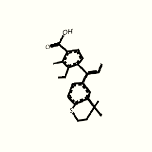 CC=C(c1ccc2c(c1)C(C)(C)CCS2)c1ccc(C(=O)O)c(C)c1CC